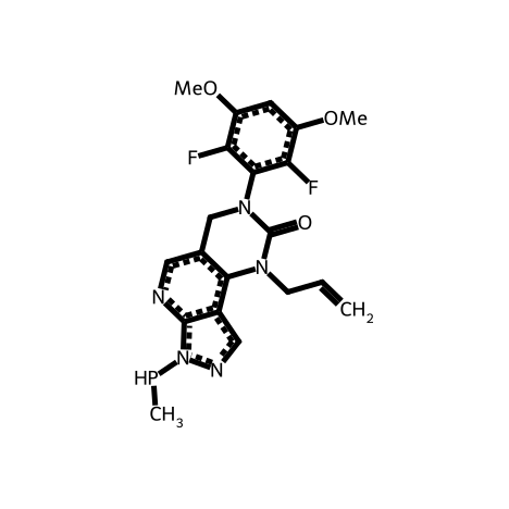 C=CCN1C(=O)N(c2c(F)c(OC)cc(OC)c2F)Cc2cnc3c(cnn3PC)c21